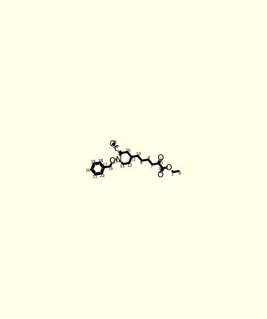 CCOC(=O)C(=O)CCCCC1CCN(OCc2ccccc2)C(=C=O)C1